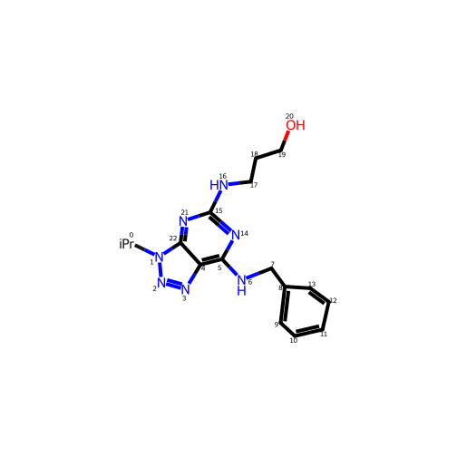 CC(C)n1nnc2c(NCc3ccccc3)nc(NCCCO)nc21